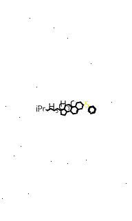 CC(C)CCCCC1CCC2C3CC=C4CC(Sc5ccccc5)CCC4(C)C3CCC12C